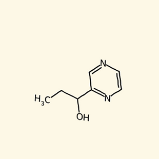 CCC(O)c1cnccn1